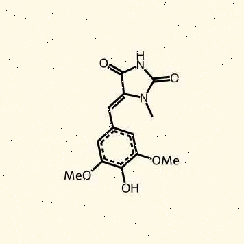 COc1cc(C=C2C(=O)NC(=O)N2C)cc(OC)c1O